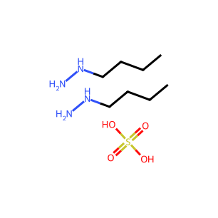 CCCCNN.CCCCNN.O=S(=O)(O)O